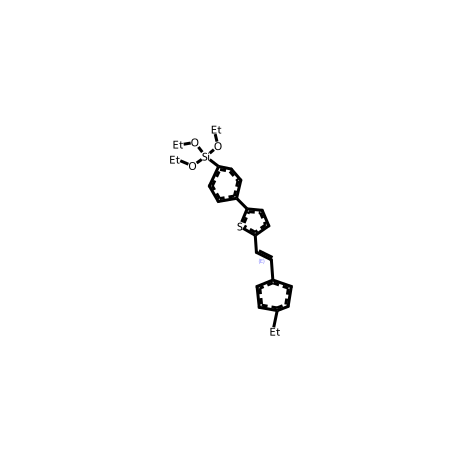 CCO[Si](OCC)(OCC)c1ccc(-c2ccc(/C=C/c3ccc(CC)cc3)s2)cc1